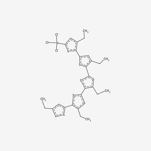 CCc1csc(-c2sc(-c3sc(-c4sc(-c5sc([Si](Cl)(Cl)Cl)cc5CC)cc4CC)cc3CC)cc2CC)c1